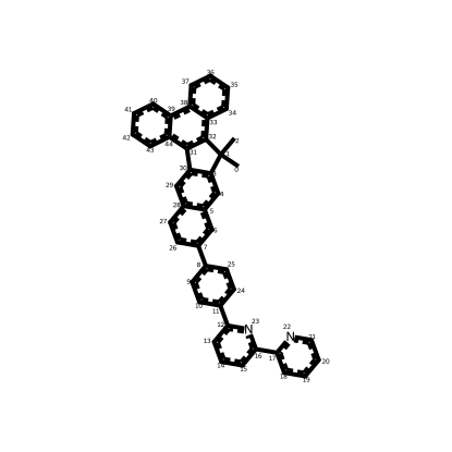 CC1(C)c2cc3cc(-c4ccc(-c5cccc(-c6ccccn6)n5)cc4)ccc3cc2-c2c1c1ccccc1c1ccccc21